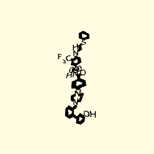 O=C(NS(=O)(=O)c1ccc(NCCSc2ccccc2)c(C(F)(F)F)c1)c1ccc(N2CCN(Cc3ccccc3-c3cccc(O)c3)CC2)cc1